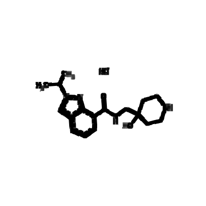 CC(C)n1cc2cccc(C(=O)NCC3(O)CCNCC3)c2n1.Cl